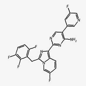 Nc1nc(-c2nc(Cc3c(F)ccc(F)c3F)n3cc(F)ccc23)ncc1-c1cncc(F)c1